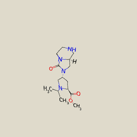 COC(=O)[C@@H]1C[C@@H](N2C[C@@H]3CNCCN3C2=O)CN1C(C)C